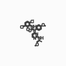 COC[C@H](C)Nc1nccc(N(C(=O)Nc2c(Cl)ccc(Cl)c2Cl)c2ccc(OC)cc2)n1